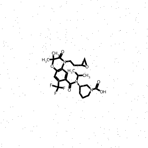 CC(C)N(C(=O)c1cc2c(cc1C(F)(F)F)OC(C)(C)C(=O)N2CCC1CO1)[C@@H]1CCCN(C(=O)O)C1